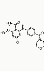 CCCOc1nc(Cl)cc(Nc2ccc(C(=O)N3CCOCC3)cc2)c1C(N)=O